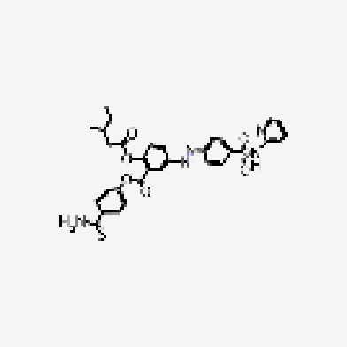 CCC(C)CC(=O)Oc1ccc(/N=N/c2ccc(S(=O)(=O)Nc3ccccn3)cc2)cc1C(=O)Oc1ccc(C(N)=S)cc1